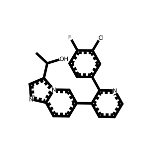 CC(O)c1cnc2ccc(-c3cccnc3-c3ccc(F)c(Cl)c3)cn12